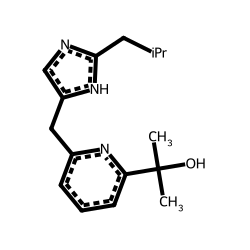 CC(C)Cc1ncc(Cc2cccc(C(C)(C)O)n2)[nH]1